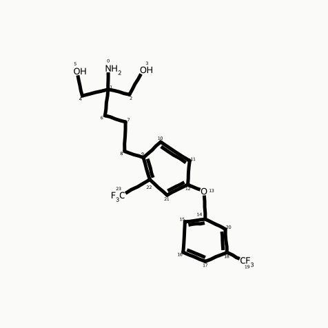 NC(CO)(CO)CCCc1ccc(Oc2cccc(C(F)(F)F)c2)cc1C(F)(F)F